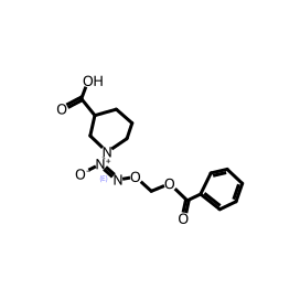 O=C(OCO/N=[N+](/[O-])N1CCCC(C(=O)O)C1)c1ccccc1